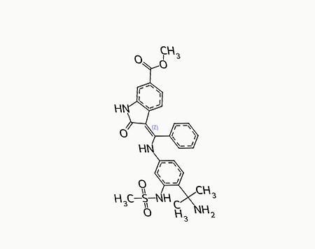 COC(=O)c1ccc2c(c1)NC(=O)/C2=C(\Nc1ccc(C(C)(C)N)c(NS(C)(=O)=O)c1)c1ccccc1